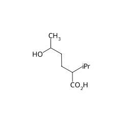 CC(O)CCC(C(=O)O)C(C)C